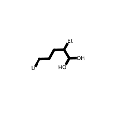 [Li][CH2]CCC(CC)C(O)O